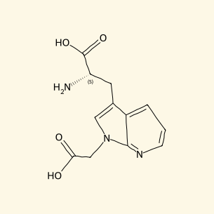 N[C@@H](Cc1cn(CC(=O)O)c2ncccc12)C(=O)O